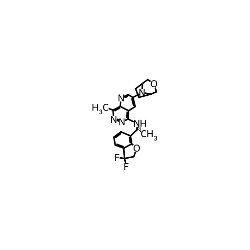 Cc1nnc(N[C@H](C)c2cccc3c2OCC3(F)F)c2cc(N3C4CCC3COC4)cnc12